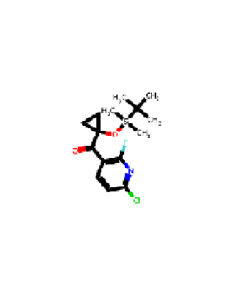 CC(C)(C)[Si](C)(C)OC1(C(=O)c2ccc(Cl)nc2F)CC1